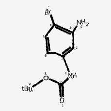 CC(C)(C)OC(=O)Nc1ccc(Br)c(N)c1